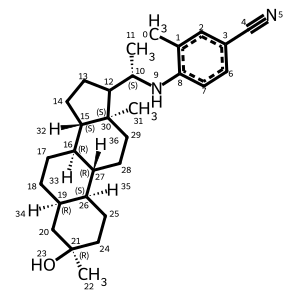 Cc1cc(C#N)ccc1N[C@@H](C)C1CC[C@H]2[C@@H]3CC[C@@H]4C[C@](C)(O)CC[C@@H]4[C@H]3CC[C@]12C